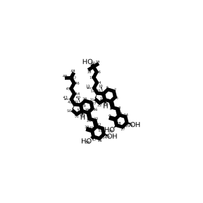 C=C1/C(=C\C=C2/CCC[C@]3(C)[C@@H]([C@H](C)CCCC(C)(C)O)CC[C@@H]23)C[C@@H](O)C[C@@H]1O.C=C1/C(=C\C=C2/CCC[C@]3(C)[C@@H]([C@H](C)CCCC(C)C)CC[C@@H]23)C[C@@H](O)CC1O